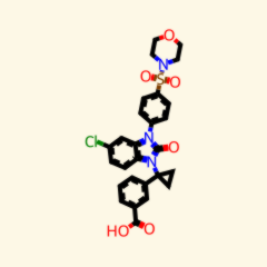 O=C(O)c1cccc(C2(n3c(=O)n(-c4ccc(S(=O)(=O)N5CCOCC5)cc4)c4cc(Cl)ccc43)CC2)c1